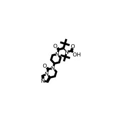 CC(C)(C)[C@H](C(=O)N1CCC(N2CCc3cncn3C2=O)CC1)N(C(=O)O)C(C)(C)C